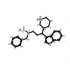 CN(CCC(c1csc2ccccc12)C1CCCNC1)Cc1ccccc1